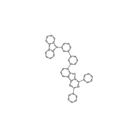 c1ccc(-c2nc(-c3ccccc3)c3sc4c(-c5cccc(-c6cccc(-n7c8ccccc8c8ccccc87)c6)c5)cccc4c3n2)cc1